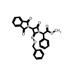 COC(=O)C(c1ccccc1)N1C(=O)C(N2C(=O)c3ccccc3C2=O)C1=NOCc1ccccc1